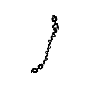 C=[N+](/C=C\C(=C/C)c1ccncc1)CCOCCOCCOCCOCCOCC[n+]1ccc(-c2ccncc2)cc1